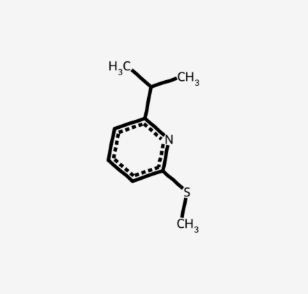 CSc1cccc(C(C)C)n1